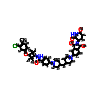 CC1(C)[C@H](NC(=O)c2ccc(N3CCC(CC4CCN(c5ccc6c(c5)C(=O)N(C5CCC(=O)NC5=O)C6=O)CC4)CC3)cc2)C(C)(C)[C@H]1Oc1ccc(C#N)c(Cl)c1